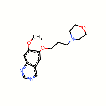 COc1cc2ncncc2cc1OCCCN1CCOCC1